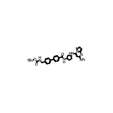 CCCc1cc(N[C@@H]2CC[C@@H](NC(=O)c3ccc(-c4ccc(CNC(=O)OC(C)(C)C)cc4)cc3)C2)n2nccc2n1